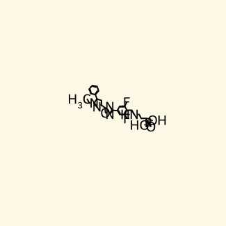 CCN1N=C(c2nc(-c3cc(F)c(CNCCCP(=O)(O)O)c(F)c3)no2)CC1c1ccccc1